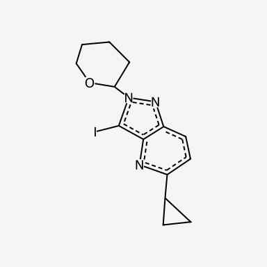 Ic1c2nc(C3CC3)ccc2nn1C1CCCCO1